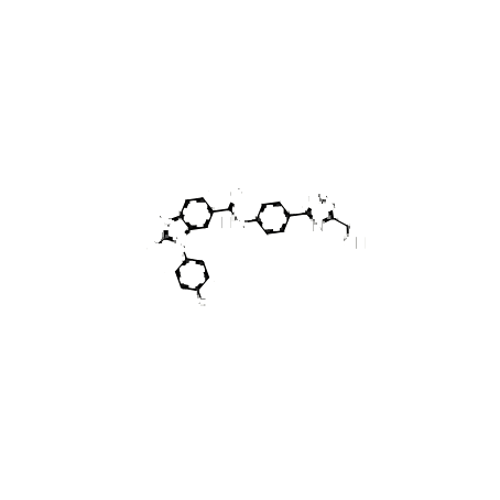 CCc1noc(-c2ccc(NC(=O)c3ccc4nc(C)n(-c5ccc(F)cc5)c4c3)cc2)n1